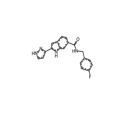 O=C(NCc1ccc(F)cc1)c1ccc2cc(-c3cc[nH]n3)[nH]c2c1